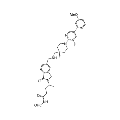 COc1cccc(-c2cnc(N3CCC(F)(CNCc4ccc5c(c4)CN(C(C)CCC(=O)NC=O)C5=O)CC3)c(F)c2)c1